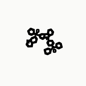 O=P(c1ccccc1)(c1ccccc1)c1ccc(-n2c3ccccc3c3cc(P(=O)(c4ccccc4)c4ccc5cccnc5c4)ccc32)cc1